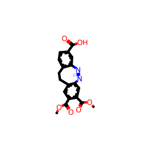 COC(=O)c1cc2c(cc1C(=O)OC)/N=N\c1cc(C(=O)O)ccc1CC2